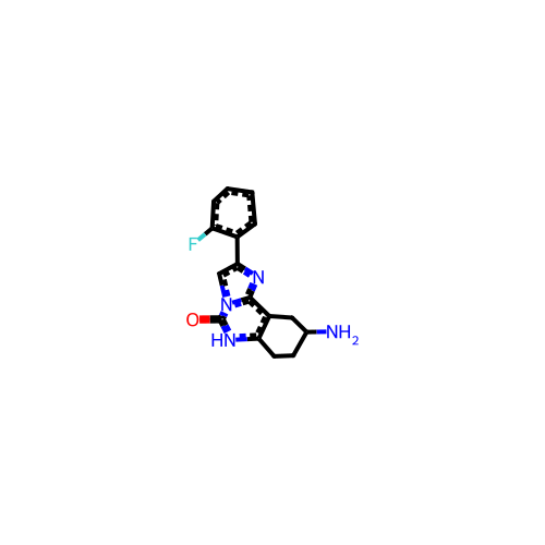 NC1CCc2[nH]c(=O)n3cc(-c4ccccc4F)nc3c2C1